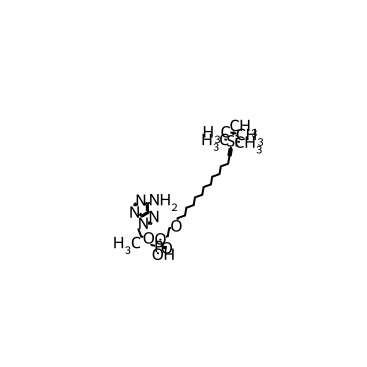 C[C@H](Cn1cnc2c(N)ncnc21)OCP(=O)(O)OCCOCCCCCCCCCCCCC#C[Si](C)(C)C(C)(C)C